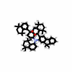 CC1(C)CCC(C)(C)c2c(-c3ccc(N(c4cc5c(cc4-c4cccc6c4C(C)(C)CCC6(C)C)-c4ccccc4C5(C)C)c4cccc5c4C(C)(C)CCC5(C)C)cc3)cccc21